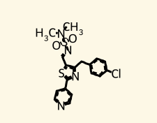 CN(C)S(=O)(=O)N=Cc1sc(-c2ccncc2)nc1Cc1ccc(Cl)cc1